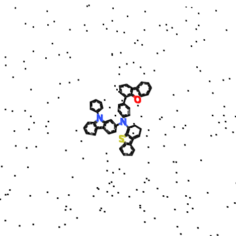 C1=c2c(sc3ccccc23)=C(N(c2ccc(-c3cccc4c3oc3ccccc34)cc2)c2ccc3c4ccccc4n(-c4ccccc4)c3c2)CC1